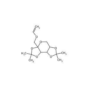 C=COCC12OCC3OC(C)(C)OC3C1OC(C)(C)O2